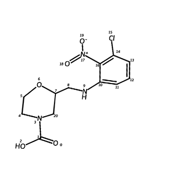 O=C(O)N1CCOC(CNc2cccc(Cl)c2[N+](=O)[O-])C1